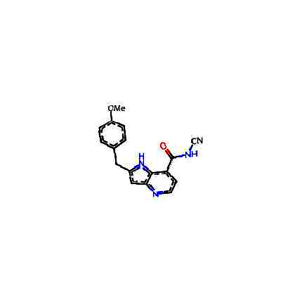 COc1ccc(Cc2cc3nccc(C(=O)NC#N)c3[nH]2)cc1